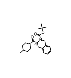 CC1CCN(C(=O)[C@@H]2Cc3ccccc3CN2C(=O)OC(C)(C)C)CC1